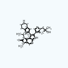 CC(C)n1c(=O)n(C)c2cnc3[nH]c(-c4cnn(CC(C)(C)O)c4)c(-c4cc5c(s4)CCNC5)c3c21